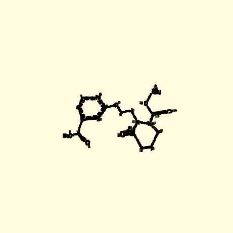 COC(=O)c1ccnc(OCCN2C(=O)CCCN2C(=O)OC(C)(C)C)c1